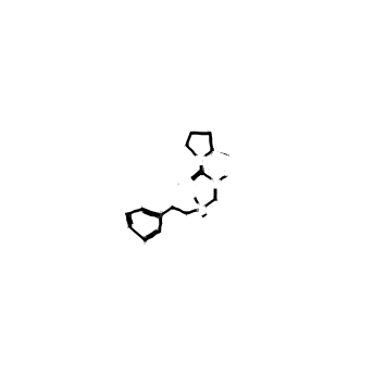 CCN(CP(=O)(O)CCc1ccccc1)C(=O)N1CCC[C@H]1C(=O)O